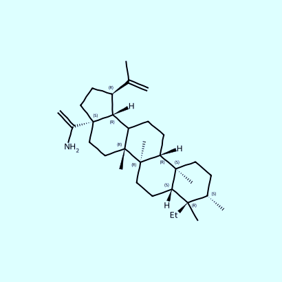 C=C(C)[C@@H]1CC[C@]2(C(=C)N)CC[C@]3(C)C(CC[C@@H]4[C@@]5(C)CC[C@H](C)[C@@](C)(CC)[C@@H]5CC[C@]43C)[C@@H]12